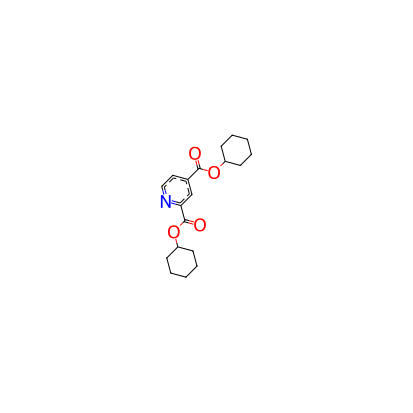 O=C(OC1CCCCC1)c1ccnc(C(=O)OC2CCCCC2)c1